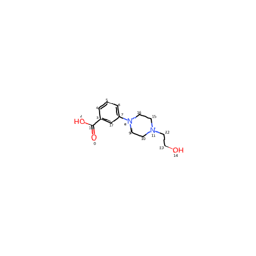 O=C(O)c1cccc(N2CCN(CCO)CC2)c1